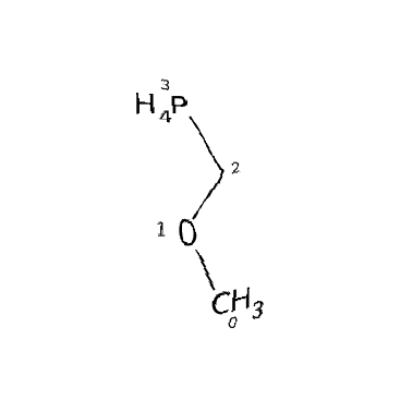 COC[PH4]